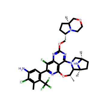 Cc1c(Cl)c(N)cc(-c2nc3c4c(nc(OC[C@@H]5CC[C@H]6COCCN65)nc4c2F)N2C[C@H]4CC[C@H](N4)C2[C@H](C)O3)c1C(F)(F)F